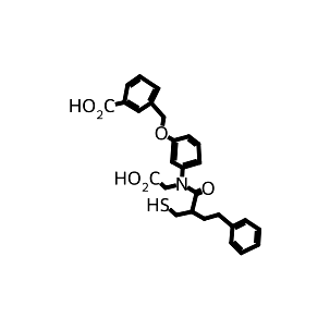 O=C(O)CN(C(=O)C(CS)CCc1ccccc1)c1cccc(OCc2cccc(C(=O)O)c2)c1